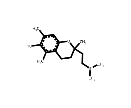 Cc1cc2c(c(C)c1O)CCC(C)(CC[S+](C)C)O2